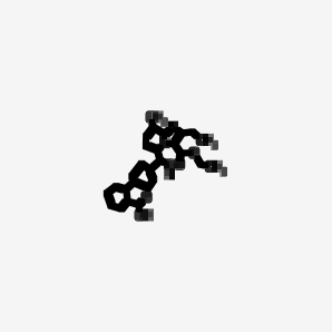 CCOC(=O)c1c(CC)nc2c(C)ccc(C(O)c3ccc(-c4ccccc4C(=O)O)cc3)n12